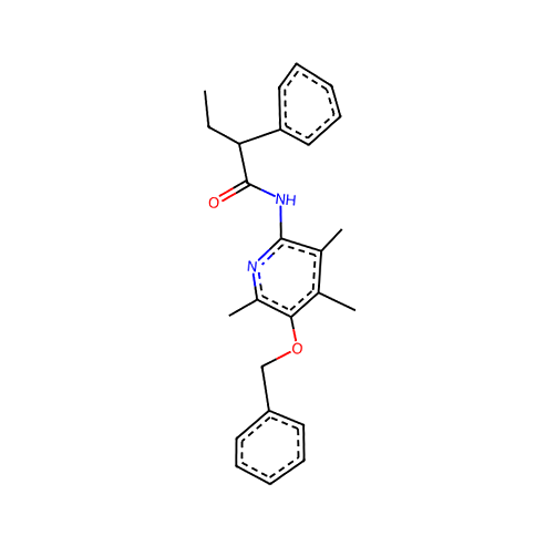 CCC(C(=O)Nc1nc(C)c(OCc2ccccc2)c(C)c1C)c1ccccc1